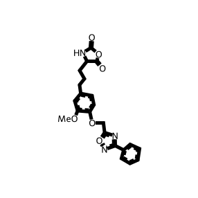 COc1cc(CCCC2NC(=O)OC2=O)ccc1OCc1nc(-c2ccccc2)no1